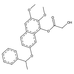 COc1cc2ccc(OC(C)c3ccccc3)cc2c(OC(=O)CO)c1OC